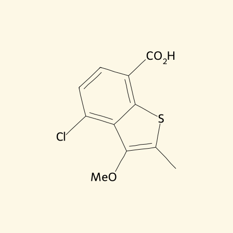 COc1c(C)sc2c(C(=O)O)ccc(Cl)c12